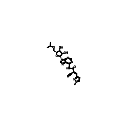 CC(C)OC[C@H]1O[C@@H](n2cnc3c(NC(=O)/C(C#N)=C/c4ccn(C)n4)ncnc32)[C@H](O)[C@@H]1O